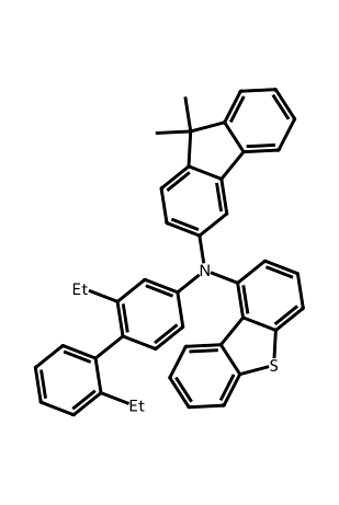 CCc1ccccc1-c1ccc(N(c2ccc3c(c2)-c2ccccc2C3(C)C)c2cccc3sc4ccccc4c23)cc1CC